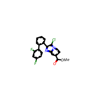 COC(=O)c1ccn2c(Cl)c(-c3ccccc3-c3ccc(F)cc3F)nc2c1